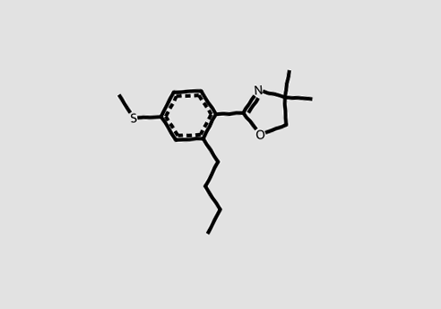 CCCCc1cc(SC)ccc1C1=NC(C)(C)CO1